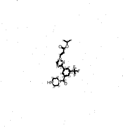 CC(C)OC(=O)C=Cn1cnc(-c2cc(C(=O)N3CCNCC3)cc(C(F)(F)F)c2)n1